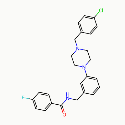 O=C(NCc1cccc(N2CCN(Cc3ccc(Cl)cc3)CC2)c1)c1ccc(F)cc1